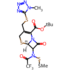 CSSN(C(=O)C(F)(F)F)C1C(=O)N2C(C(=O)OC(C)(C)C)=C(CSc3nnnn3C)CS[C@H]12